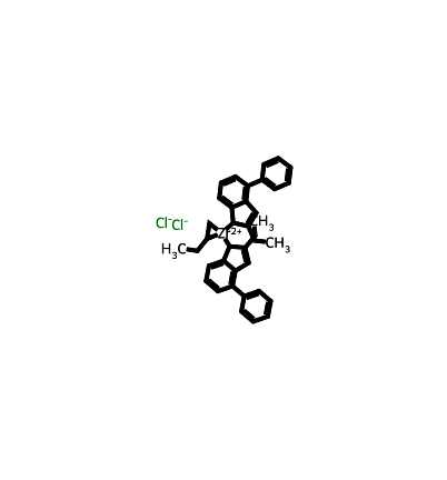 CCC1=Cc2c(-c3ccccc3)cccc2[CH]1[Zr+2]1([CH]2C(CC)=Cc3c(-c4ccccc4)cccc32)[CH2][CH]1CC.[Cl-].[Cl-]